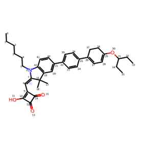 CCCCCCN1/C(=C/c2c(O)c(=O)c2=O)C(C)(C)c2cc(-c3ccc(C4=CC=C(OC(CC)CC)CC4)cc3)ccc21